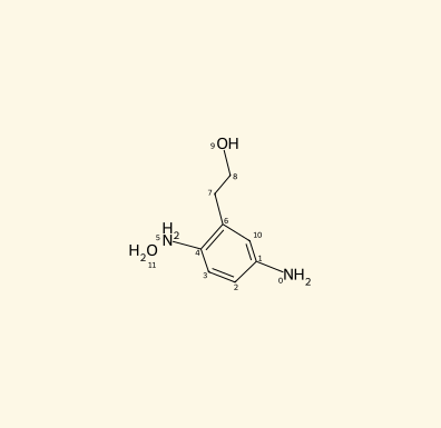 Nc1ccc(N)c(CCO)c1.O